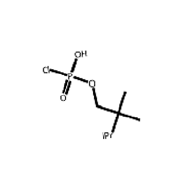 CC(C)C(C)(C)COP(=O)(O)Cl